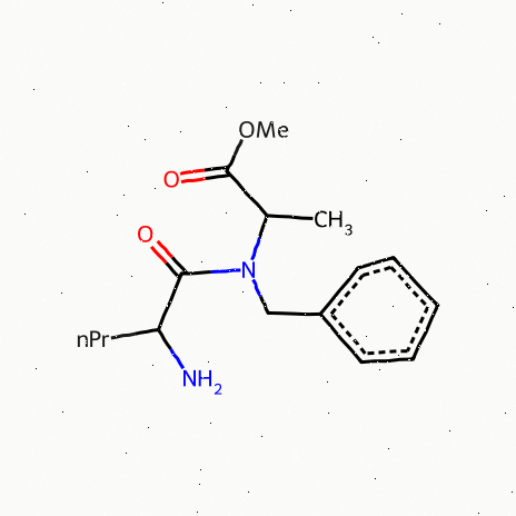 CCCC(N)C(=O)N(Cc1ccccc1)C(C)C(=O)OC